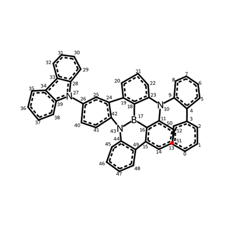 c1ccc(-c2ccccc2N2c3cccc4c3B3c5c(cccc52)-c2cc(-n5c6ccccc6c6ccccc65)ccc2N3c2ccccc2-4)cc1